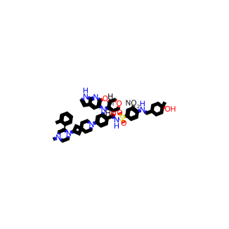 Cc1ccccc1[C@@H]1CN(C)CCN1C1CC2(CCN(c3ccc(C(=O)NS(=O)(=O)c4ccc(NCC5CCC(C)(O)CC5)c([N+](=O)[O-])c4)c(N4c5cc6cc[nH]c6nc5O[C@H]5COCC[C@@H]54)c3)CC2)C1